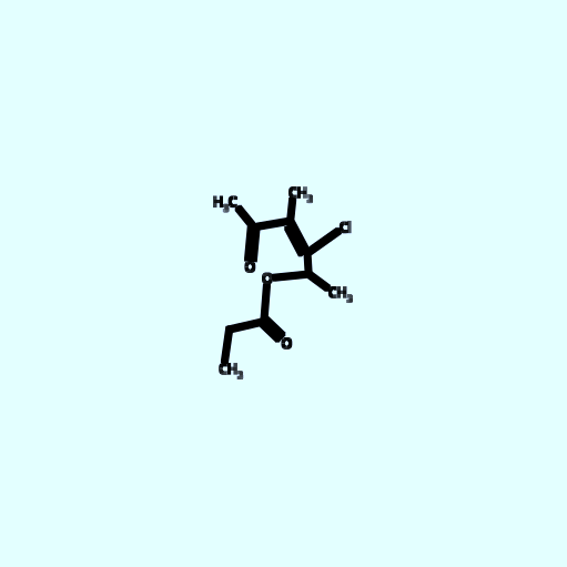 CCC(=O)OC(C)/C(Cl)=C(/C)C(C)=O